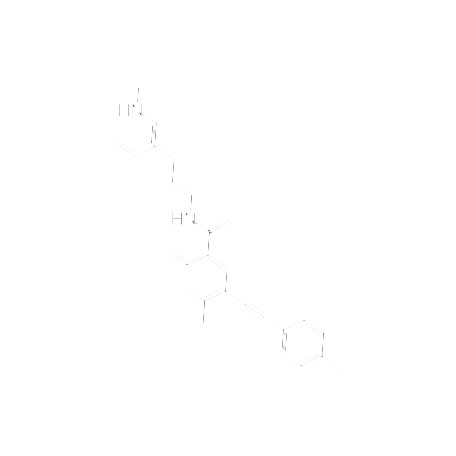 C=C/C(=C\NC)CCCNC(=C)/C(C=C)=C/C(C#Cc1ccc(C)cc1)=C(C)C